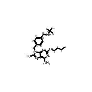 CCCCOc1nc(N)c2nc(O)n(Cc3ccc(CNC(C)(C)C)cc3)c2n1